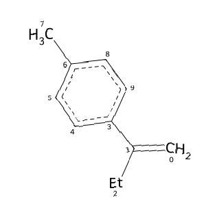 C=C(CC)c1ccc(C)cc1